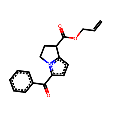 C=CCOC(=O)C1CCn2c(C(=O)c3ccccc3)ccc21